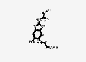 CCNC(=O)Nc1nc2cc(Br)c(NCCOC)cc2s1